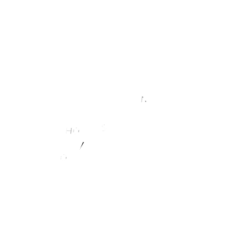 OC(CSCc1cnc2ccccc2c1)[C@H]1CCCO1